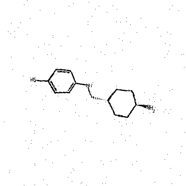 N[C@H]1CC[C@H](CNc2ccc(S)cc2)CC1